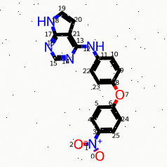 O=[N+]([O-])c1ccc(Oc2ccc(Nc3ncnc4[nH]ccc34)cc2)cc1